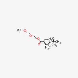 COCCOCCOC(=O)c1ccc(C(C)(C)C)c(C)c1